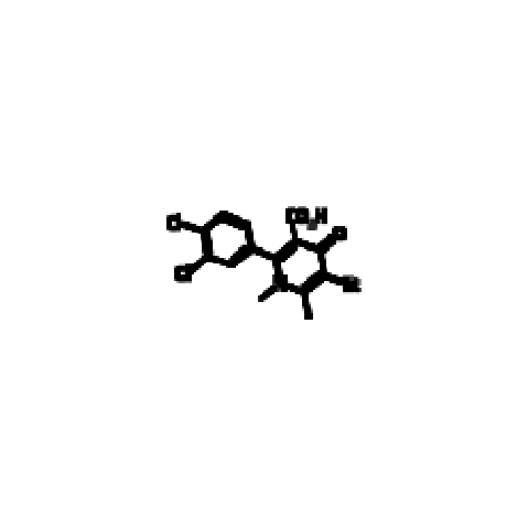 CCc1c(C)n(C)c(-c2ccc(Cl)c(Cl)c2)c(C(=O)O)c1=O